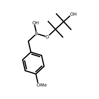 COc1ccc(CB(O)OC(C)(C)C(C)(C)O)cc1